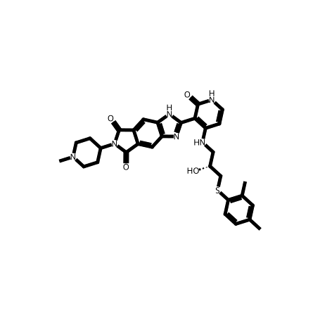 Cc1ccc(SC[C@H](O)CNc2cc[nH]c(=O)c2-c2nc3cc4c(cc3[nH]2)C(=O)N(C2CCN(C)CC2)C4=O)c(C)c1